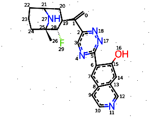 C=C(c1cnc(-c2cc3ccncc3cc2O)nn1)[C@@H]1CC2CCC[C@](C)(N2)[C@H]1F